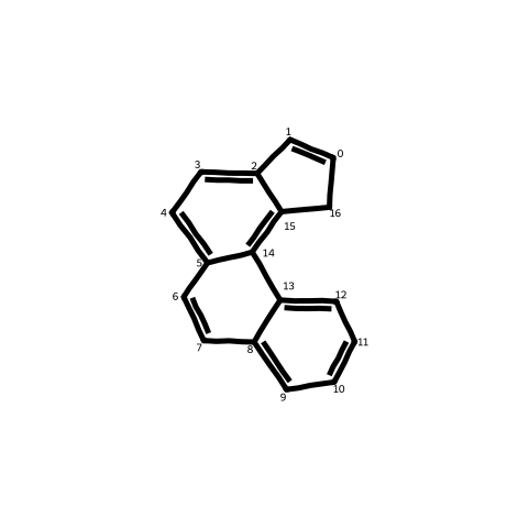 C1=Cc2ccc3ccc4ccccc4c3c2C1